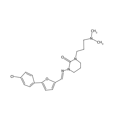 CN(C)CCCN1CCCN(N=Cc2ccc(-c3ccc(Cl)cc3)o2)C1=O